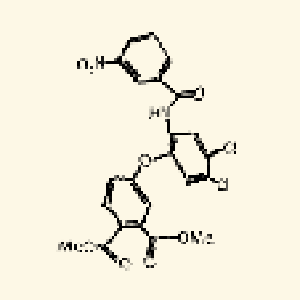 COC(=O)c1ccc(Oc2cc(Cl)c(Cl)cc2NC(=O)c2cccc([N+](=O)[O-])c2)cc1C(=O)OC